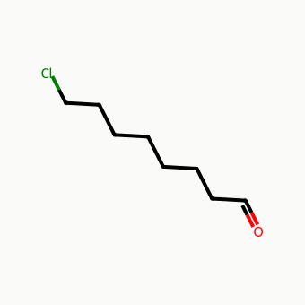 O=CCCCCCCCCl